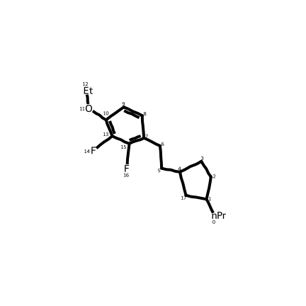 CCCC1CCC(CCc2ccc(OCC)c(F)c2F)C1